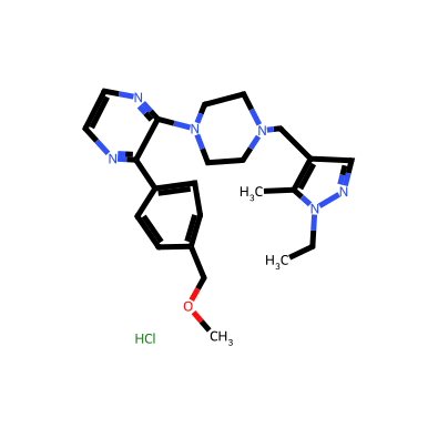 CCn1ncc(CN2CCN(c3nccnc3-c3ccc(COC)cc3)CC2)c1C.Cl